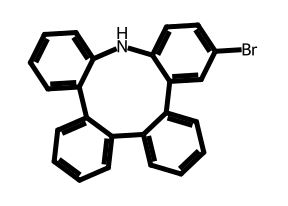 Brc1ccc2[nH]c3ccccc3c3ccccc3c3ccccc3c2c1